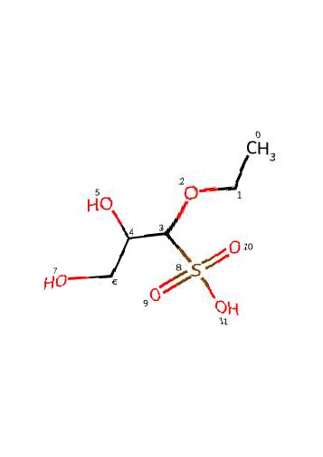 CCOC(C(O)CO)S(=O)(=O)O